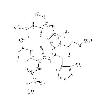 Cc1ccccc1C[C@H](NC(=O)[C@@H](NC(=O)[C@@H](N)CC(=O)O)C1CCCCC1)C(=O)N(C(=O)CCC(=O)O)[C@H](C(=O)N[C@@H](CC(C)C)C(=O)NC(C=O)CC(F)(F)F)C(C)(C)C